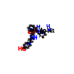 CCNCCC1CCCC(CNCCC2CCCCN2S(=O)(=O)CCNCCN2CCC(O)CC2)N1C(C)=O